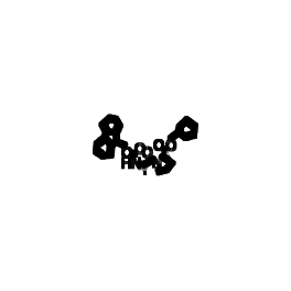 C[C@H](NC(=O)OCC1c2ccccc2-c2ccccc21)C(=O)N1CCC[C@H]1C(=O)OCc1ccccc1